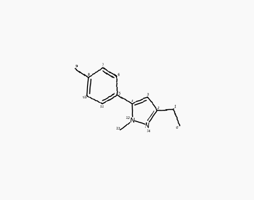 CCc1cc(-c2ccc(C)cc2)n(C)n1